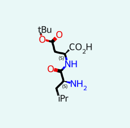 CC(C)C[C@H](N)C(=O)N[C@@H](CC(=O)OC(C)(C)C)C(=O)O